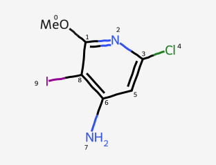 COc1nc(Cl)cc(N)c1I